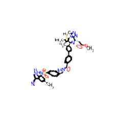 COC(=O)C[C@@H]1N=C(c2ccc(-c3ccc(C(=O)NCc4ccc(S(=O)(=O)Nc5cc(C)cc6c(C#N)c[nH]c56)cc4)cc3)cc2)c2c(sc(C)c2C)-n2c(C)nnc21